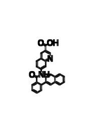 O=C(O)c1cnc2cc(NC(=O)c3ccccc3-c3ccc4ccccc4c3)ccc2c1